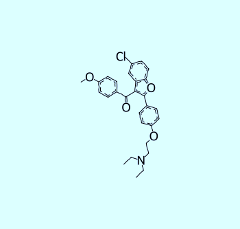 CCN(CC)CCOc1ccc(-c2oc3ccc(Cl)cc3c2C(=O)c2ccc(OC)cc2)cc1